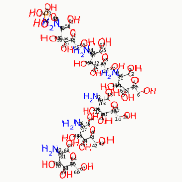 N[C@H]1C(O)O[C@H](CO)[C@@H](O)[C@@H]1O.N[C@H]1C(O)O[C@H](CO)[C@@H](O)[C@@H]1O.N[C@H]1C(O)O[C@H](CO)[C@@H](O)[C@@H]1O.N[C@H]1C(O)O[C@H](CO)[C@@H](O)[C@@H]1O.N[C@H]1C(O)O[C@H](CO)[C@@H](O)[C@@H]1O.N[C@H]1C(O)O[C@H](CO)[C@@H](O)[C@@H]1O.O=P(O)(O)O